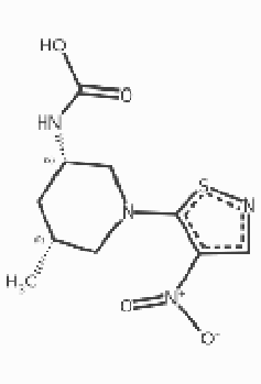 C[C@@H]1C[C@H](NC(=O)O)CN(c2sncc2[N+](=O)[O-])C1